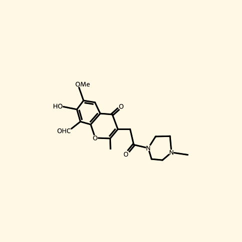 COc1cc2c(=O)c(CC(=O)N3CCN(C)CC3)c(C)oc2c(C=O)c1O